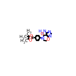 C=C1OB(c2ccc(N3CCOc4ncnc(N)c4C3=O)cc2)OC1(C)C